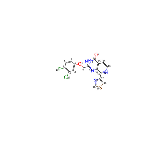 O=c1[nH]c(COc2ccc(F)c(Cl)c2)nc2c(-c3cscn3)nccc12